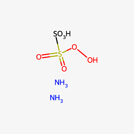 N.N.O=S(=O)(O)S(=O)(=O)OO